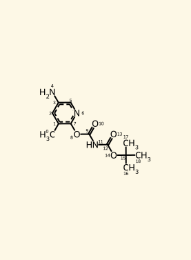 Cc1cc(N)cnc1OC(=O)NC(=O)OC(C)(C)C